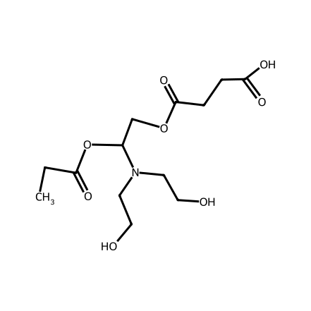 CCC(=O)OC(COC(=O)CCC(=O)O)N(CCO)CCO